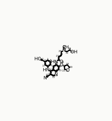 C#Cc1cccc(Nc2c(C#N)cnc3cc(O[C@H]4CCOC4)c(NC(=O)/C=C/CN(C)CCO)cc23)c1